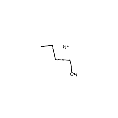 CCCCO.[H+]